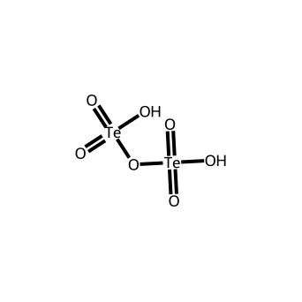 O=[Te](=O)(O)O[Te](=O)(=O)O